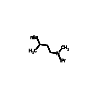 CCCCC(C)CCN(C)C(C)C